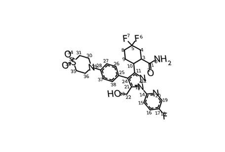 NC(=O)C1CC(F)(F)CCC1c1nn(-c2ccc(F)cn2)c(CO)c1-c1ccc(N2CCS(=O)(=O)CC2)cc1